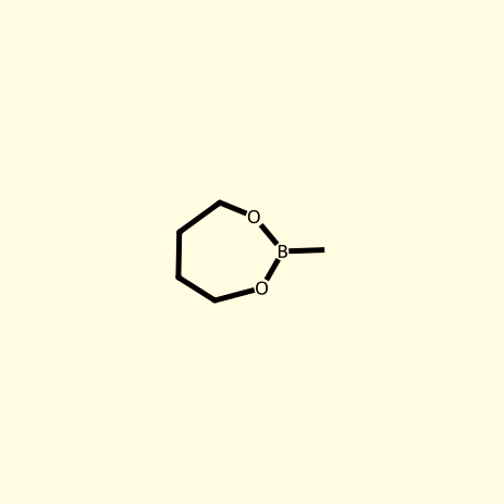 CB1OCCCCO1